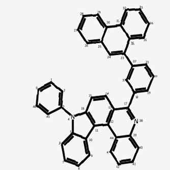 c1ccc(-n2c3ccccc3c3c4c(ccc32)c(-c2cccc(-c3cc5ccccc5c5ccccc35)c2)nc2ccccc24)cc1